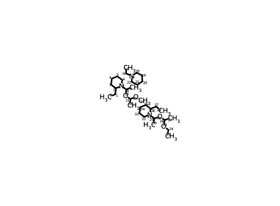 CCC1CCCCN1C(C)OC(C)OC.CCN1CCCCC1.CCOC(C)OC(C)N1CCCCC1CC